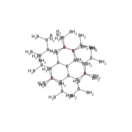 BB(B)B(B(B)B)B(B(B(B)B)B(B)B)B(B(B(B)B)B(B)B)B(B(B(B(B)B)B(B)B)B(B(B)B)B(B)B)B(B(B(B)B)B(B)B)B(B(B)B)B(B)B